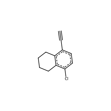 C#Cc1ccc(Cl)c2c1CCCC2